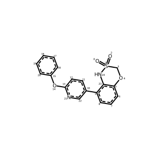 O=S1(=O)COc2cccc(-c3ccc(Oc4ccccc4)nc3)c2N1